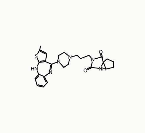 Cc1cc2c(s1)Nc1ccccc1N=C2N1CCN(CCCN2C(=O)NC3(CCCC3)C2=O)CC1